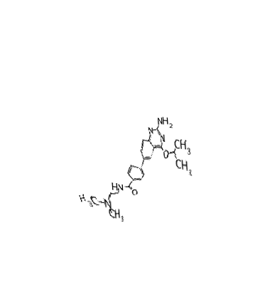 CC(C)Oc1nc(N)nc2ccc(-c3ccc(C(=O)NCCN(C)C)cc3)cc12